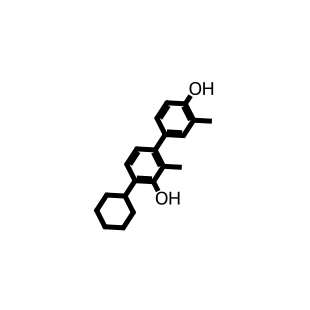 Cc1cc(-c2ccc(C3CCCCC3)c(O)c2C)ccc1O